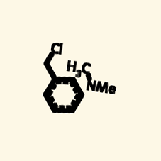 CNC.ClCc1ccccc1